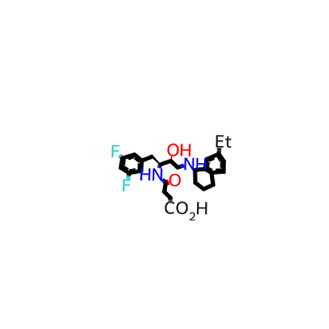 CCc1ccc2c(c1)[C@@H](NC[C@@H](O)[C@H](Cc1cc(F)cc(F)c1)NC(=O)CCC(=O)O)CCC2